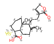 C=C1CCC2[C@](C)(CCC[C@]2(S)C(=O)O)[C@H]1CCC1=CCOC1=O